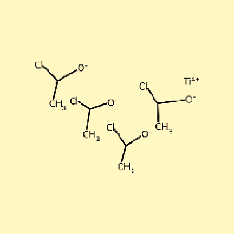 CC([O-])Cl.CC([O-])Cl.CC([O-])Cl.CC([O-])Cl.[Ti+4]